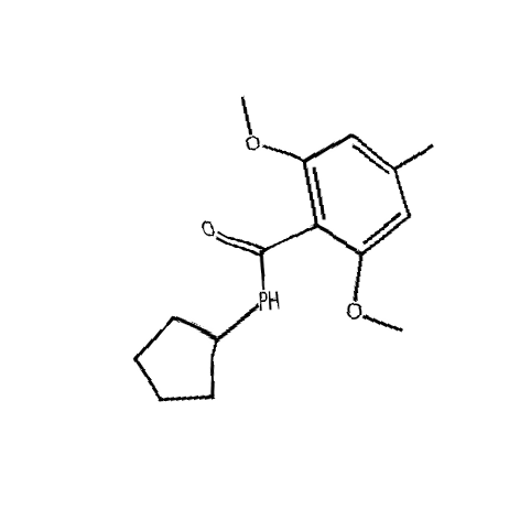 COc1cc(C)cc(OC)c1C(=O)PC1CCCC1